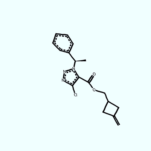 C=C1CC(COC(=O)c2c(Cl)nnn2[C@H](C)c2ccccc2)C1